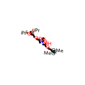 C=CC(=O)N(CC(O)COCCC[Si](C)(OC)OC)CC(O)COCCC[Si](C)(OSC(C)C)OSC(C)C